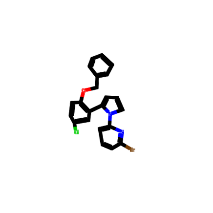 Clc1ccc(OCc2ccccc2)c(-c2cccn2-c2cccc(Br)n2)c1